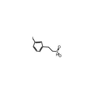 O=[SH](=O)CCc1cccc(I)c1